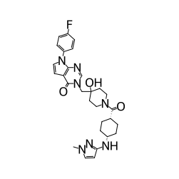 Cn1ccc(N[C@H]2CC[C@@H](C(=O)N3CCC(O)(Cn4cnc5c(ccn5-c5ccc(F)cc5)c4=O)CC3)CC2)n1